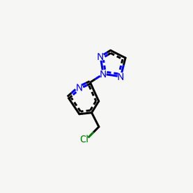 ClCc1ccnc(-n2nccn2)c1